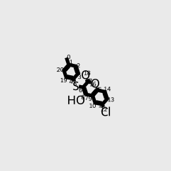 Cc1ccc(Sc2c(O)c3cc(Cl)ccc3oc2=O)cc1